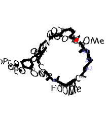 CCCOP(C)(=O)O[C@@H]1CC[C@@H](CC2C3CC(=O)C(C)/C=C(\C)[C@@H](O)C(OC)C(=O)[C@H](C)C[C@H](C)/C=C/C=C/C=C(\C)[C@@H](OC)C[C@@H]4CC[C@@H](C)[C@@](O)(O4)C(=O)C(=O)N4CCC[C@H]2[C@H]4C(=O)O3)C[C@H]1OC